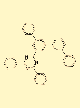 c1ccc(-c2cccc(-c3cc(-c4ccccc4)cc(-c4nc(-c5ccccc5)nc(-c5ccccc5)n4)c3)c2)cc1